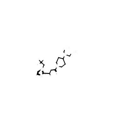 CCN(CC)C1CCN(C(=O)CC(O)c2nccn2CC(F)(F)F)CC1